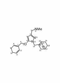 CNCc1cc(OCC2=CCCC=C2)n(CC2OC3CCC2CC3)n1